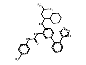 Cc1ccc(NC(=O)Nc2cc(-c3ccccc3-c3nnn[nH]3)ccc2NC(CC(C)C(F)(F)F)C2CCCCC2)cc1